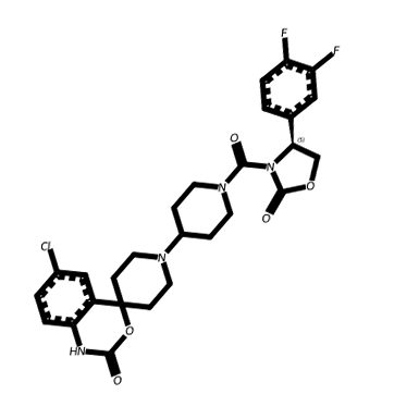 O=C1Nc2ccc(Cl)cc2C2(CCN(C3CCN(C(=O)N4C(=O)OC[C@@H]4c4ccc(F)c(F)c4)CC3)CC2)O1